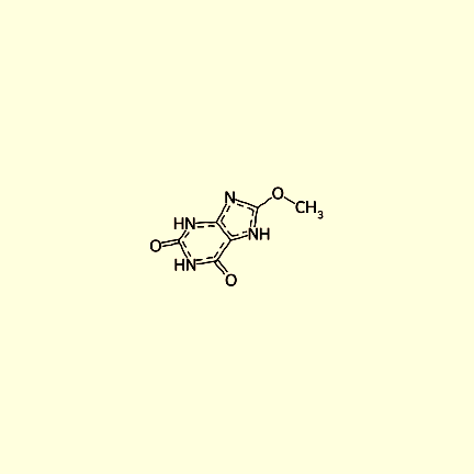 COc1nc2[nH]c(=O)[nH]c(=O)c2[nH]1